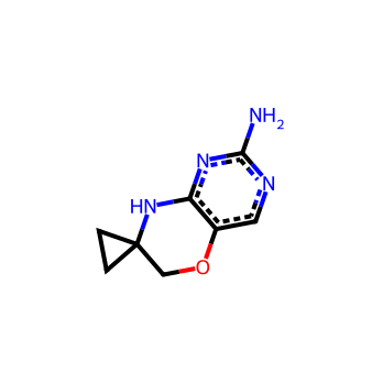 Nc1ncc2c(n1)NC1(CC1)CO2